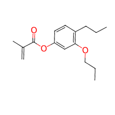 C=C(C)C(=O)Oc1ccc(CCC)c(OCCC)c1